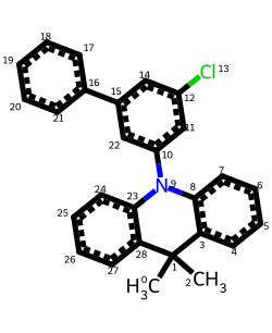 CC1(C)c2ccccc2N(c2cc(Cl)cc(-c3ccccc3)c2)c2ccccc21